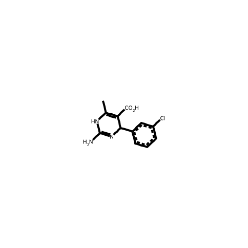 CC1=C(C(=O)O)C(c2cccc(Cl)c2)N=C(N)N1